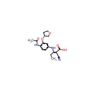 CC/C(Nc1ccc(NC(C)=O)c(O[C@H]2CCOC2)c1)=C(\C#N)C(=O)O